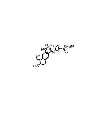 CC(C)CN1c2cc(NS(=O)(=O)C(F)(F)F)c(N=Nc3nnc(C(=O)OC(C)(C)C)s3)cc2CCC1C